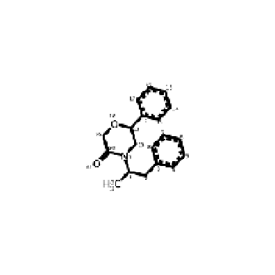 CC(Cc1ccccc1)N1CC(c2ccccc2)OCC1=O